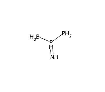 B[PH](=N)P